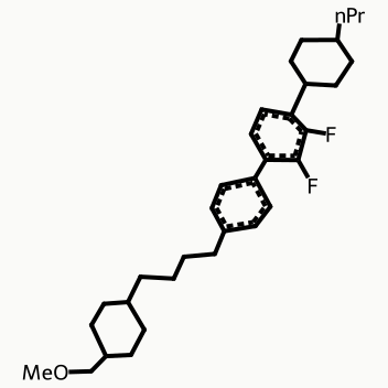 CCCC1CCC(c2ccc(-c3ccc(CCCCC4CCC(COC)CC4)cc3)c(F)c2F)CC1